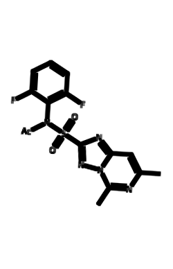 CC(=O)N(c1c(F)cccc1F)S(=O)(=O)c1nc2cc(C)nc(C)n2n1